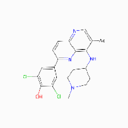 CC(=O)c1cnc2ccc(-c3cc(Cl)c(O)c(Cl)c3)nc2c1NC1CCN(C)CC1